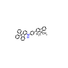 CC1(C)c2ccccc2-c2ccc(-c3ccc(Nc4cccc5c4-c4ccccc4C5(c4ccccc4)c4ccccc4)cc3)cc21